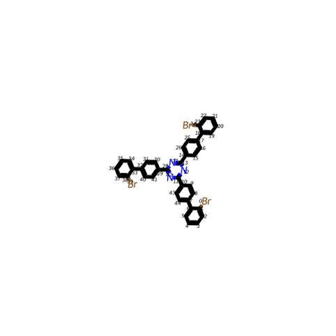 Brc1ccccc1-c1ccc(-c2nc(-c3ccc(-c4ccccc4Br)cc3)nc(-c3ccc(-c4ccccc4Br)cc3)n2)cc1